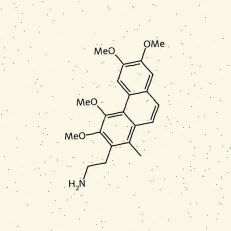 COc1cc2ccc3c(C)c(CCN)c(OC)c(OC)c3c2cc1OC